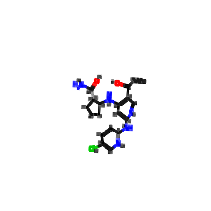 CNC(=O)c1cnc(Nc2ccc(Cl)cn2)cc1NC1CCC[C@@H]1C(N)=O